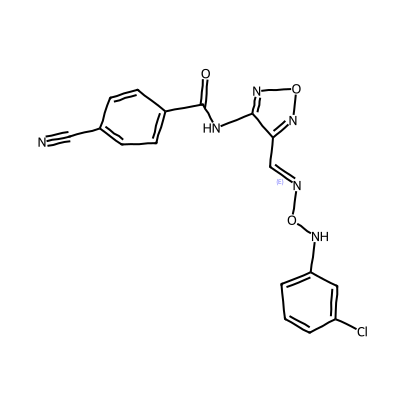 N#Cc1ccc(C(=O)Nc2nonc2/C=N/ONc2cccc(Cl)c2)cc1